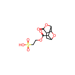 O=C1OC2C3OC(CC13)C2C(=O)OCCS(=O)(=O)O